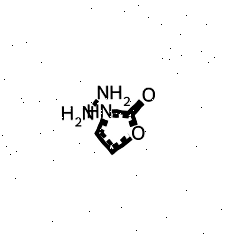 NN.O=c1[nH]cco1